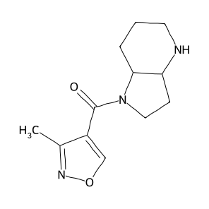 Cc1nocc1C(=O)N1CCC2NCCCC21